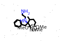 CCCC1(OC)C(Cc2ccccc2)(NCCN)C(C)CC[Si]1(OC)OC